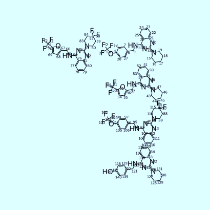 FC(F)(F)Oc1ccc(CNc2nc(N3CCCCC3)nc3ccccc23)cc1.FC(F)(F)c1ccc(CNc2nc(N3CCCCC3)nc3ccccc23)o1.FC1(F)CCN(c2nc(NCc3ccc(C(F)(F)F)o3)c3ccccc3n2)CC1.FC1(F)CCN(c2nc(NCc3ccc(OC(F)(F)F)cc3)c3ccccc3n2)CC1.Oc1ccc(CNc2nc(N3CCCCC3)nc3ccccc23)cc1